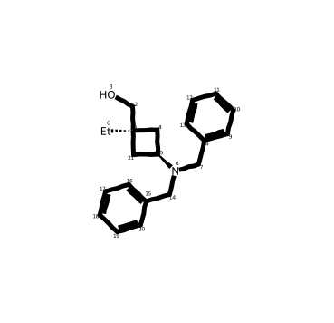 CC[C@]1(CO)C[C@@H](N(Cc2ccccc2)Cc2ccccc2)C1